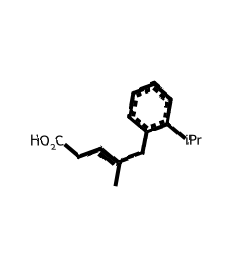 CC(=CCC(=O)O)Cc1ccccc1C(C)C